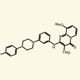 COc1cccn2c(=O)c(C=O)c(Nc3cccc(N4CCN(c5ccc(F)cc5)CC4)c3)nc12